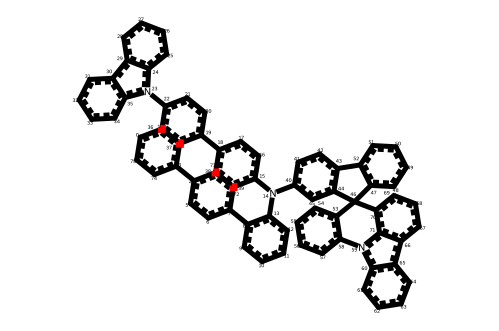 c1ccc(-c2ccc(-c3ccccc3N(c3ccc(-c4ccc(-n5c6ccccc6c6ccccc65)cc4)cc3)c3ccc4c(c3)C3(c5ccccc5-4)c4ccccc4-n4c5ccccc5c5cccc3c54)cc2)cc1